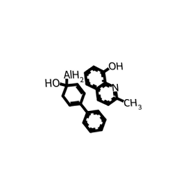 Cc1ccc2cccc(O)c2n1.O[C]1([AlH2])C=CC(c2ccccc2)=CC1